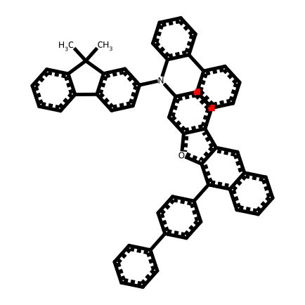 CC1(C)c2ccccc2-c2ccc(N(c3ccc4c(c3)oc3c(-c5ccc(-c6ccccc6)cc5)c5ccccc5cc34)c3ccccc3-c3ccccc3)cc21